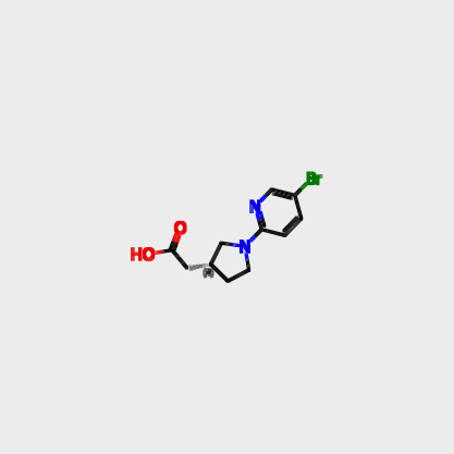 O=C(O)C[C@H]1CCN(c2ccc(Br)cn2)C1